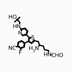 CC(C)(O)CNc1ccc(-c2sc(CC(N)CCCNC=O)cc2-c2ccc(C#N)c(F)c2)cn1